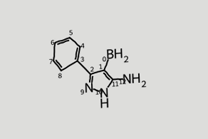 Bc1c(-c2ccccc2)n[nH]c1N